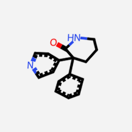 O=C1NCCCC1(c1ccccc1)c1ccncc1